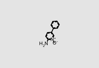 Nc1ccc(-c2ccccc2)c[n+]1[O-]